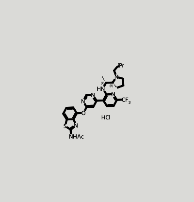 CC(=O)Nc1nc2c(Oc3cc(-c4ccc(C(F)(F)F)nc4N[C@H](C)[C@H]4CCCN4CC(C)C)ncn3)cccc2s1.Cl